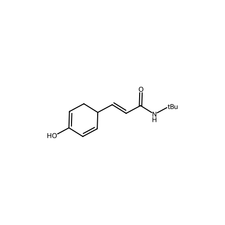 CC(C)(C)NC(=O)C=CC1C=CC(O)=CC1